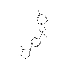 C=C1NCCN1c1ccc(S(=O)(=O)Nc2ccc(I)cc2)cc1